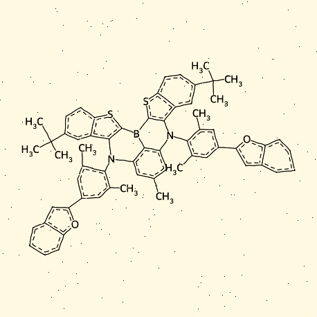 Cc1cc2c3c(c1)N(c1c(C)cc(-c4cc5ccccc5o4)cc1C)c1c(sc4ccc(C(C)(C)C)cc14)B3c1sc3ccc(C(C)(C)C)cc3c1N2c1c(C)cc(-c2cc3ccccc3o2)cc1C